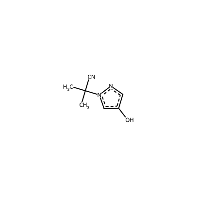 CC(C)(C#N)n1cc(O)cn1